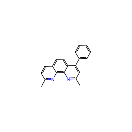 Cc1ccc2ccc3c(-c4ccccc4)cc(C)nc3c2n1